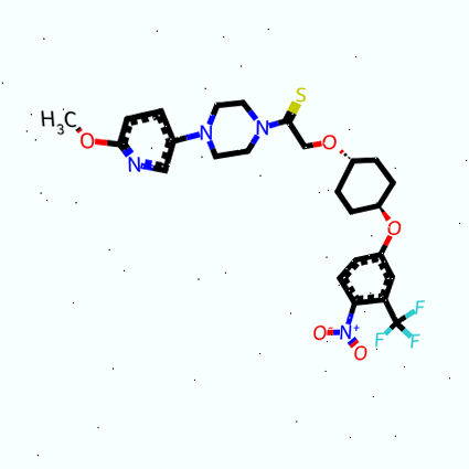 COc1ccc(N2CCN(C(=S)CO[C@H]3CC[C@H](Oc4ccc([N+](=O)[O-])c(C(F)(F)F)c4)CC3)CC2)cn1